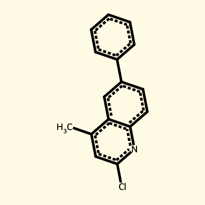 Cc1cc(Cl)nc2ccc(-c3ccccc3)cc12